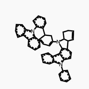 C1=CC(c2ccccc2-n2c3ccccc3c3ccccc32)CC(N2c3c(ccc4c3c3ccccc3n4-c3ccccc3)C3C=CCCC32)=C1